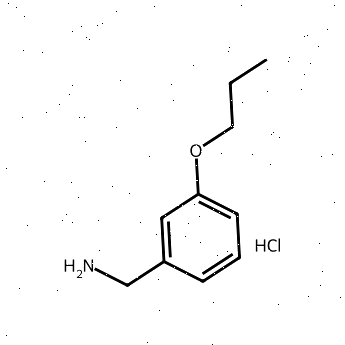 CCCOc1cccc(CN)c1.Cl